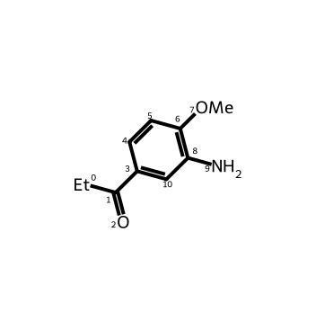 CCC(=O)c1ccc(OC)c(N)c1